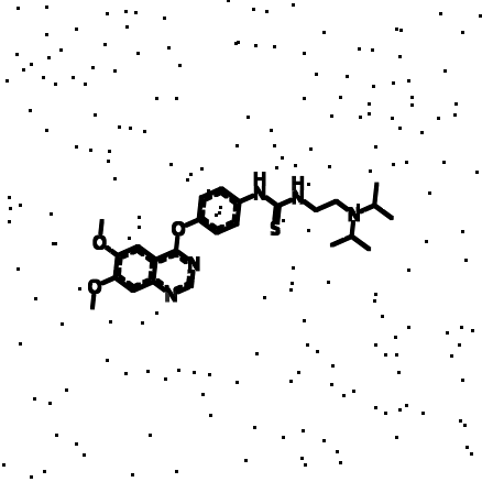 COc1cc2ncnc(Oc3ccc(NC(=S)NCCN(C(C)C)C(C)C)cc3)c2cc1OC